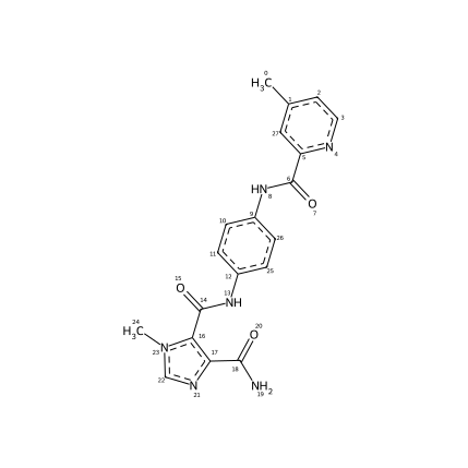 Cc1ccnc(C(=O)Nc2ccc(NC(=O)c3c(C(N)=O)ncn3C)cc2)c1